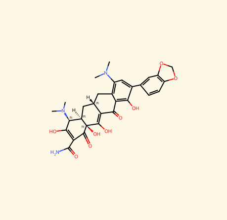 CN(C)c1cc(-c2ccc3c(c2)OCO3)c(O)c2c1C[C@H]1C[C@@H]3[C@H](N(C)C)C(O)=C(C(N)=O)C(=O)[C@@]3(O)C(O)=C1C2=O